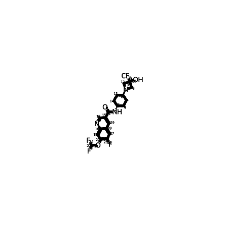 O=C(N[C@H]1CC[C@H](N2CC(O)(C(F)(F)F)C2)CC1)c1cnc2cc(OC(F)F)c(F)cc2c1